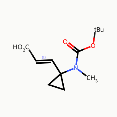 CN(C(=O)OC(C)(C)C)C1(/C=C/C(=O)O)CC1